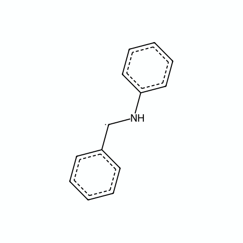 [CH](Nc1ccccc1)c1ccccc1